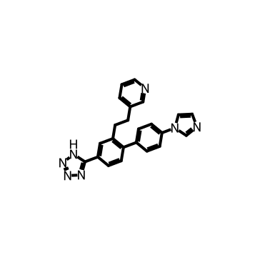 c1cncc(CCc2cc(-c3nnn[nH]3)ccc2-c2ccc(-n3ccnc3)cc2)c1